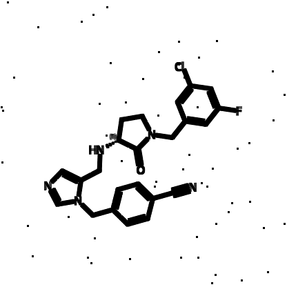 N#Cc1ccc(Cn2cncc2CN[C@@H]2CCN(Cc3cc(F)cc(Cl)c3)C2=O)cc1